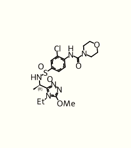 CCn1c(OC)nnc1[C@@H](C)NS(=O)(=O)c1ccc(NC(=O)N2CCOCC2)c(Cl)c1